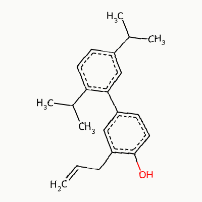 C=CCc1cc(-c2cc(C(C)C)ccc2C(C)C)ccc1O